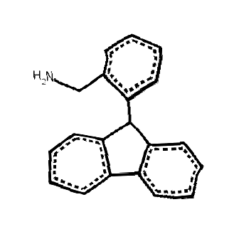 NCc1ccccc1C1c2ccccc2-c2ccccc21